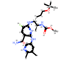 Cc1cc(Nc2nc(N[C@H](CCCO[Si](C)(C)C(C)(C)C)[C@H](C)NC(=O)OC(C)(C)C)c(F)cc2C(N)=O)cnc1C